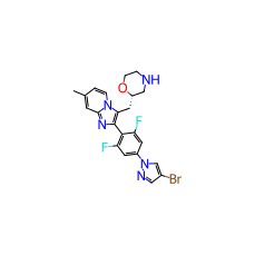 Cc1ccn2c(C[C@H]3CNCCO3)c(-c3c(F)cc(-n4cc(Br)cn4)cc3F)nc2c1